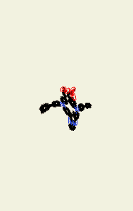 COC(=O)CCc1ccc(N(c2ccc(-c3ccccc3)cc2)c2ccc(-c3nc4ccccc4nc3-c3ccc(N(c4ccc(CCC(=O)OC)cc4)c4ccc(-c5ccccc5)cc4)cc3)cc2)cc1